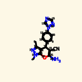 Cc1nn(C)c2c1C(c1ccc(-n3cncn3)cc1)C(C#N)=C(N)O2